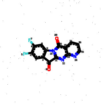 O=C1c2cc(F)c(F)cc2-n2c1nc1ncccc1c2=O